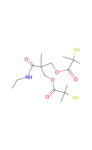 CCNC(=O)C(C)(COC(=O)C(C)(C)S)COC(=O)C(C)(C)S